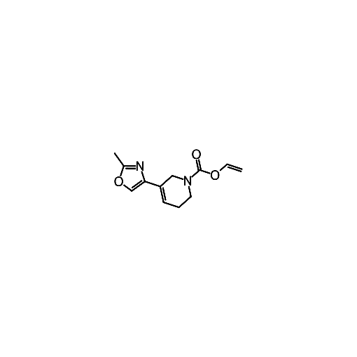 C=COC(=O)N1CCC=C(c2coc(C)n2)C1